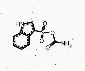 NC(=O)OS(=O)(=O)c1c[nH]c2ccccc12